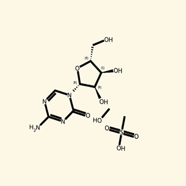 CO.CS(=O)(=O)O.Nc1ncn([C@@H]2O[C@H](CO)[C@@H](O)[C@H]2O)c(=O)n1